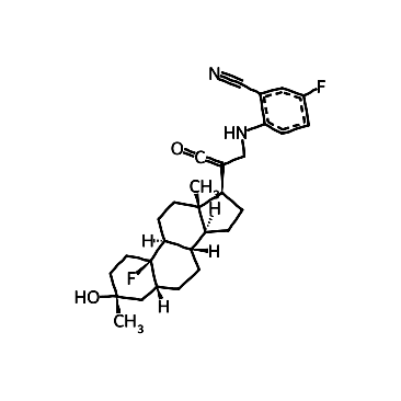 C[C@@]1(O)CC[C@@]2(F)[C@H](CC[C@H]3[C@@H]4CC[C@H](C(=C=O)CNc5ccc(F)cc5C#N)[C@@]4(C)CC[C@@H]32)C1